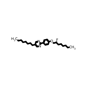 CCCCCCCCc1cnc(-c2ccc(OC[C@H](F)CCCCCC)cc2)nc1